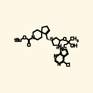 CC(C)(C)OC(=O)N1CCC2(CCC=C2C[C@@H]2CC(OC(C)(C)O)[C@H](n3ccc4c(Cl)ncnc43)C2)CC1